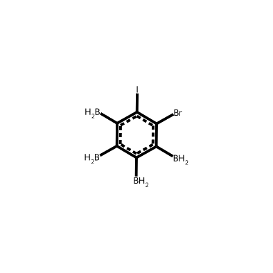 Bc1c(B)c(B)c(I)c(Br)c1B